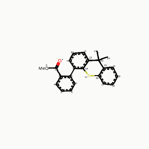 COC(=O)c1ccccc1-c1cccc2c1Sc1ccccc1C2(C)C